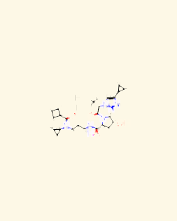 CC(C)(C)[C@@H](C(=O)N1C[C@H](O)C[C@H]1C(=O)NCCCN(C(=O)C1CCC1)C1CC1)n1cc(C2CC2)nn1